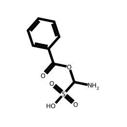 NC(OC(=O)c1ccccc1)S(=O)(=O)O